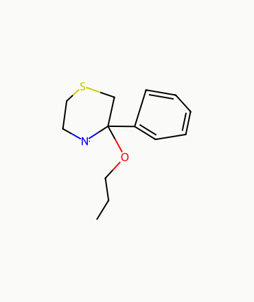 CCCOC1(c2ccccc2)CSCC[N]1